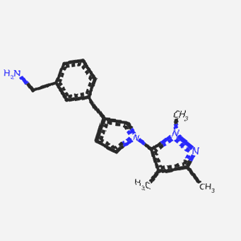 Cc1nn(C)c(-n2ccc(-c3cccc(CN)c3)c2)c1C